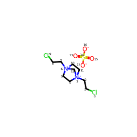 ClCC[N+]12CC[N+](CCCl)(CC1)C2.O=S(=O)([O-])[O-]